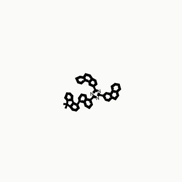 CC1(C)c2ccccc2-c2c(-c3cccc4c(-c5nc(-c6ccc7ccc8ccccc8c7c6)nc(-c6ccc7ccc8ccccc8c7c6)n5)cccc34)cccc21